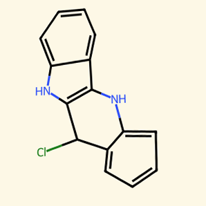 ClC1c2ccccc2Nc2c1[nH]c1ccccc21